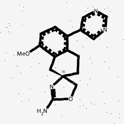 COc1ccc(-c2cncnc2)c2c1C[C@@]1(CC2)COC(N)=N1